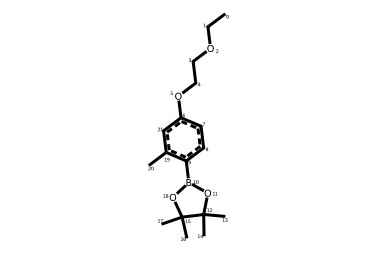 CCOCCOc1ccc(B2OC(C)(C)C(C)(C)O2)c(C)c1